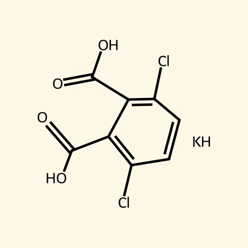 O=C(O)c1c(Cl)ccc(Cl)c1C(=O)O.[KH]